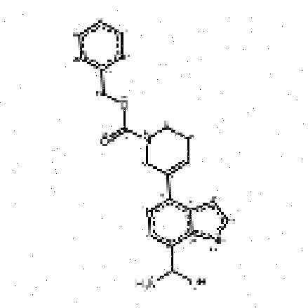 NC(O)c1cnc(C2=CCCN(C(=O)OCc3ccccc3)C2)c2cc[nH]c12